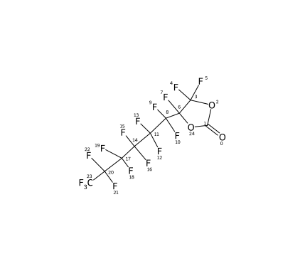 O=C1OC(F)(F)C(F)(C(F)(F)C(F)(F)C(F)(F)C(F)(F)C(F)(F)C(F)(F)F)O1